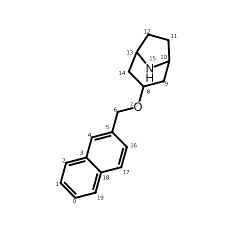 c1ccc2cc(COC3CC4CCC(C3)N4)ccc2c1